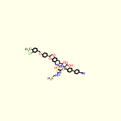 CCNc1nc(C)c(S(=O)(=O)N2Cc3cc4c(cc3CC2C(=O)N[C@@H](Cc2ccc(-c3ccc(C#N)cc3)cc2)C(=O)O)OC[C@H](c2ccc(OCc3ccc(C)c(Cl)c3)cc2)O4)s1